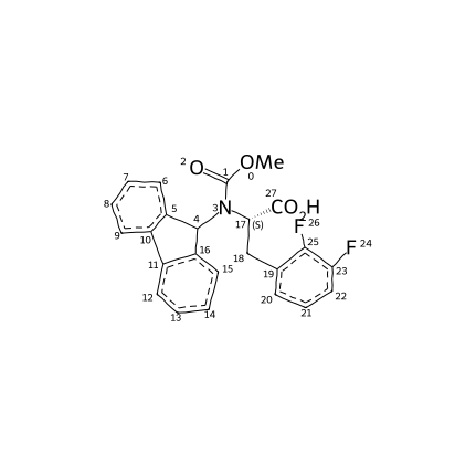 COC(=O)N(C1c2ccccc2-c2ccccc21)[C@@H](Cc1cccc(F)c1F)C(=O)O